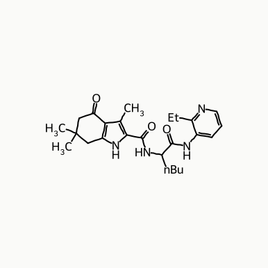 CCCCC(NC(=O)c1[nH]c2c(c1C)C(=O)CC(C)(C)C2)C(=O)Nc1cccnc1CC